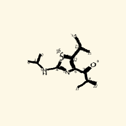 CC(C)Nc1nc(C(=O)C(C)C)c(C(C)C)s1